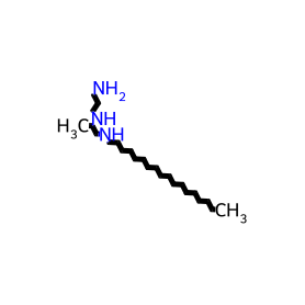 CCCCCCCCCCCCCCCCCCNCC(C)NCCCN